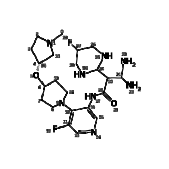 CN1CC[C@@H](OC2CCN(c3c(F)cncc3NC(=O)C(C(N)N)C3NCC(F)CN3)CC2)C1